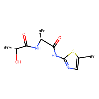 CCC[C@H](NC(=O)[C@H](O)C(C)C)C(=O)Nc1ncc(C(C)C)s1